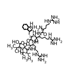 CC(C)[C@H](NC(=O)[C@@H](NC(=O)[C@H](CCCNC(=N)N)NC(=O)[C@H](Cc1c[nH]c2ccccc12)NC(=O)[C@H](CCCNC(=N)N)NC(=O)[C@@H](N)CCCNC(=N)N)C(C)C)C(=O)O